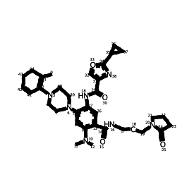 CC1=C(N2CCN(c3cc(N(C)C)c(C(=O)NCCCN4CCCC4=O)cc3NC(=O)c3coc(C4CC4)n3)CC2)C=CCC1